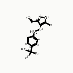 Cc1onc(C=O)c1SNc1ccc(C(F)(F)F)cc1